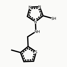 Cc1ccsc1CNn1cnnc1S